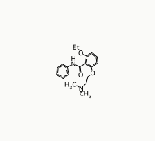 CCOc1cccc(OCCN(C)C)c1C(=O)Nc1ccccc1